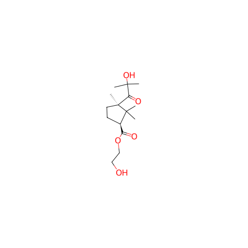 CC(C)(O)C(=O)[C@]1(C)CC[C@H](C(=O)OCCO)C1(C)C